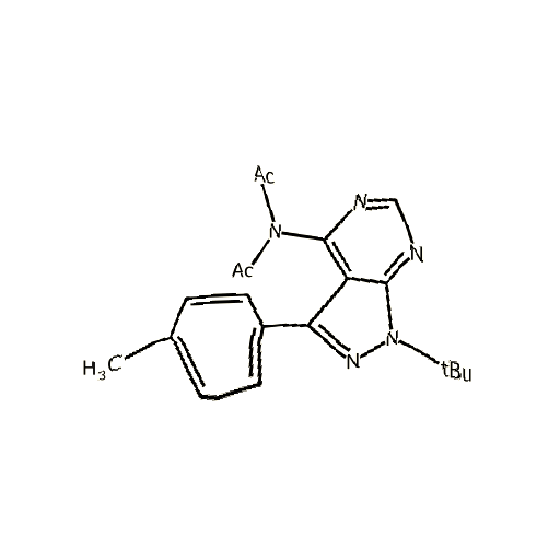 CC(=O)N(C(C)=O)c1ncnc2c1c(-c1ccc(C)cc1)nn2C(C)(C)C